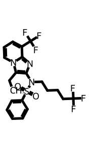 CCc1c(N(CCCCC(F)(F)F)S(=O)(=O)c2ccccc2)nc2c(C(F)(F)F)cccn12